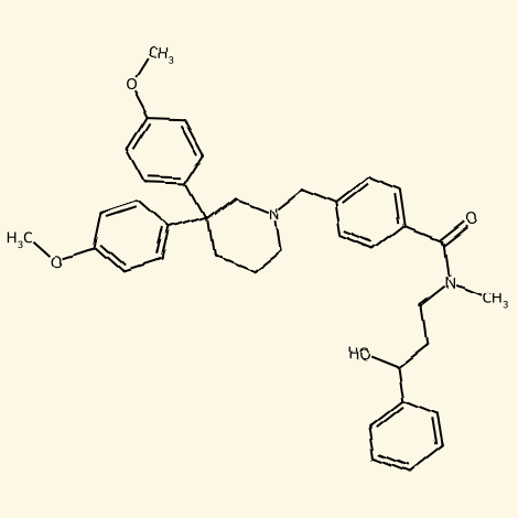 COc1ccc(C2(c3ccc(OC)cc3)CCCN(Cc3ccc(C(=O)N(C)CCC(O)c4ccccc4)cc3)C2)cc1